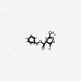 Cc1nnc(I)c(C(=O)OCc2ccccc2)n1